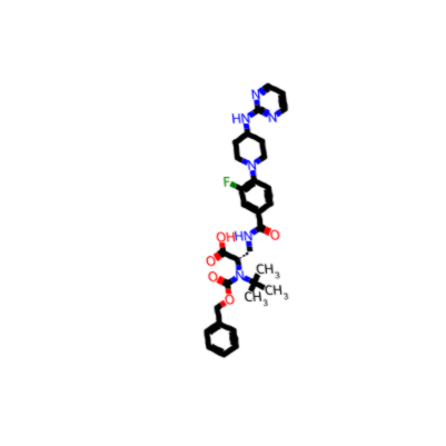 CC(C)(C)N(C(=O)OCc1ccccc1)[C@@H](CNC(=O)c1ccc(N2CCC(Nc3ncccn3)CC2)c(F)c1)C(=O)O